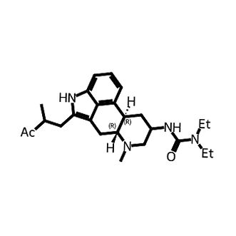 CCN(CC)C(=O)NC1C[C@@H]2c3cccc4[nH]c(CC(C)C(C)=O)c(c34)C[C@H]2N(C)C1